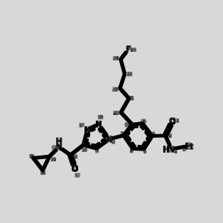 CCNC(=O)c1ccc(-n2cc(C(=O)NC3CC3)nn2)c(CCCCCF)c1